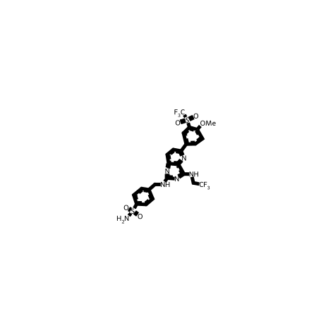 COc1ccc(-c2ccc3nc(NCc4ccc(S(N)(=O)=O)cc4)nc(NCC(F)(F)F)c3n2)cc1S(=O)(=O)C(F)(F)F